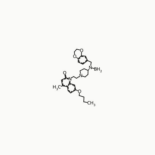 BN(Cc1ccc2c(c1)OCCO2)C1CCN(CCn2c(=O)cc(C)c3ccc(OCCCC)cc32)CC1